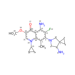 Cc1c(N2CC(N)C3(CC3)C2)c(F)c(N)c2c(=O)c(OC(=O)O)cn(C3CC3)c12